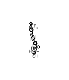 O=C(NC(=O)[C@@H]1C[C@@H](O)CN1)c1ccc(-c2cnc(OCC3CCN(CC4(C(F)(F)F)CCC4)CC3)cn2)cc1F